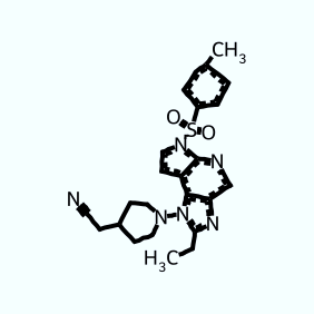 CCc1nc2cnc3c(ccn3S(=O)(=O)c3ccc(C)cc3)c2n1N1CCC(CC#N)CC1